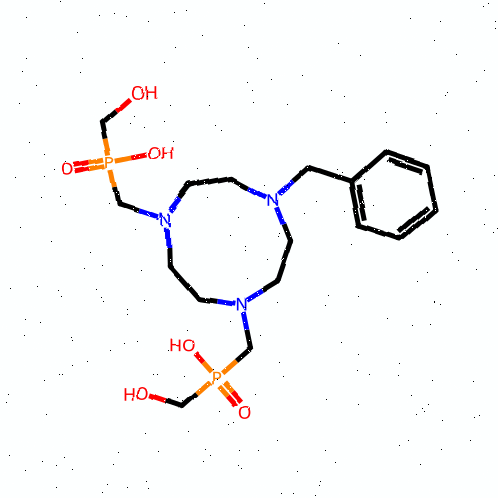 O=P(O)(CO)CN1CCN(Cc2ccccc2)CCN(CP(=O)(O)CO)CC1